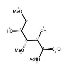 COC[C@@H](O)[C@@H](OC)[C@H](O)[C@@H](C=O)NC(C)=O